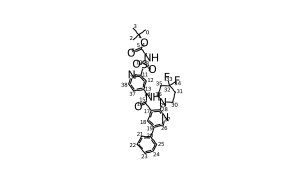 CC(C)(C)OC(=O)NS(=O)(=O)c1cc(NC(=O)c2cc(-c3ccccc3)cnc2N2CCC(F)(F)CC2)ccn1